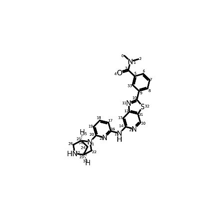 CN(C)C(=O)c1cccc(-c2nc3cc(Nc4cccc(N5C[C@@H]6C[C@H]5CN6)n4)ncc3s2)c1